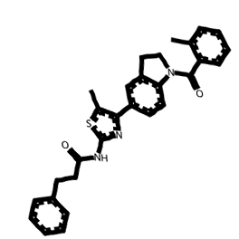 Cc1ccccc1C(=O)N1CCc2cc(-c3nc(NC(=O)CCc4ccccc4)sc3C)ccc21